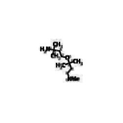 CNCCC(C)(C)OCCC(C)(C)N